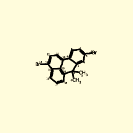 CC1(C)c2cc(Br)ccc2-c2ccc(Br)c3cccc1c23